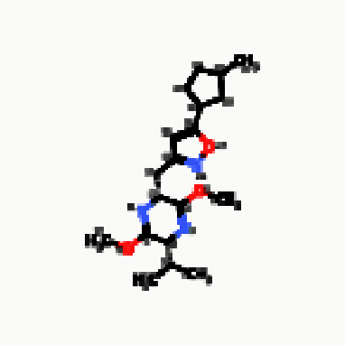 COC1=N[C@H](C(C)C)C(OC)=N[C@@H]1Cc1cc(C2CCC(C)C2)on1